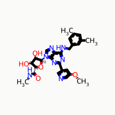 CNC(=O)[C@H]1O[C@H](n2cnc3c(NCc4cc(C)cc(C)c4)nc(-c4cncc(OC)c4)nc32)[C@H](O)[C@@H]1O